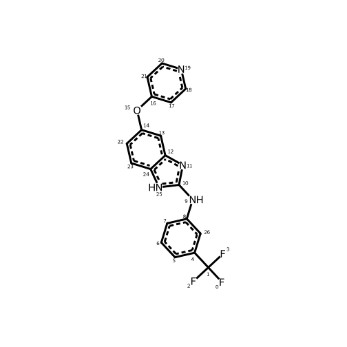 FC(F)(F)c1cccc(Nc2nc3cc(Oc4ccncc4)ccc3[nH]2)c1